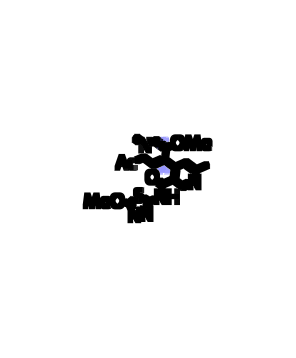 C=N/C=C(OC)\C(=C/CC(C)=O)c1cc(C)ncc1C(=O)Nc1nnc(OC)s1